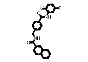 Nc1ccc(F)cc1NC(=O)c1ccc(CNC(=O)c2ccc3ccccc3c2)cc1